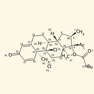 CCCCC(=O)O[C@@]1(C(C)=O)[C@H](C)C[C@H]2[C@@H]3CCC4=CC(=O)C=C[C@]4(C)[C@@]3(Cl)[C@@H](Cl)C[C@@]21C